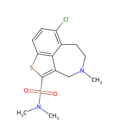 CN1CCc2c(Cl)ccc3sc(S(=O)(=O)N(C)C)c(c23)C1